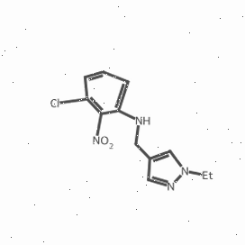 CCn1cc(CNc2cccc(Cl)c2[N+](=O)[O-])cn1